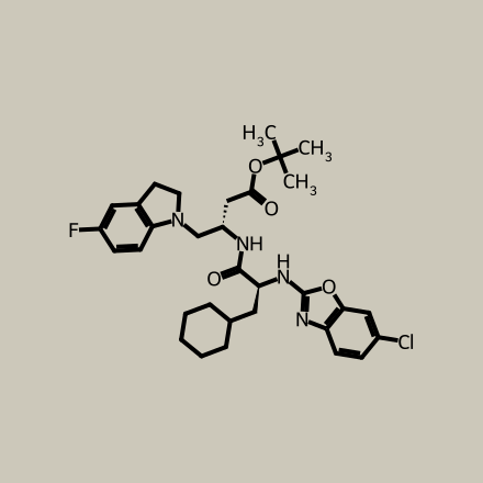 CC(C)(C)OC(=O)C[C@@H](CN1CCc2cc(F)ccc21)NC(=O)[C@H](CC1CCCCC1)Nc1nc2ccc(Cl)cc2o1